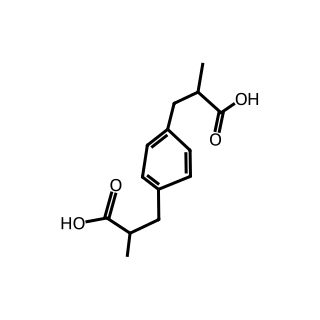 CC(Cc1ccc(CC(C)C(=O)O)cc1)C(=O)O